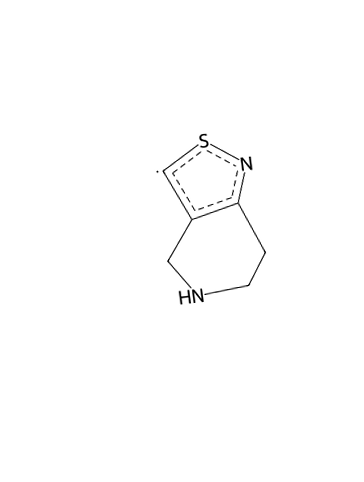 [c]1snc2c1CNCC2